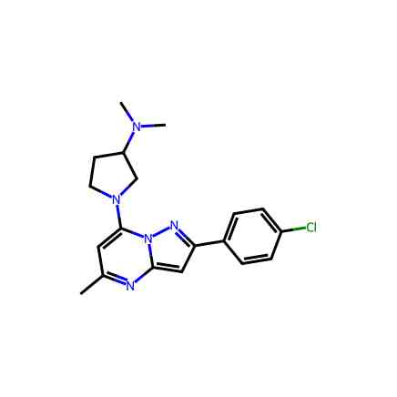 Cc1cc(N2CCC(N(C)C)C2)n2nc(-c3ccc(Cl)cc3)cc2n1